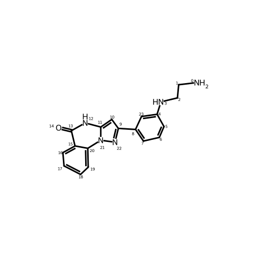 NCCNc1cccc(-c2cc3[nH]c(=O)c4ccccc4n3n2)c1